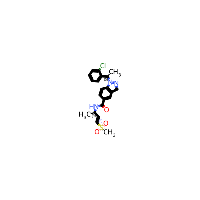 C[C@H](/C=C/S(C)(=O)=O)NC(=O)c1ccc2c(cnn2[C@@H](C)c2ccccc2Cl)c1